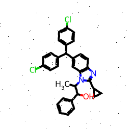 CC(C(O)c1ccccc1)n1c(C2CC2)nc2ccc(C(c3ccc(Cl)cc3)c3ccc(Cl)cc3)cc21